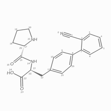 N#Cc1ccccc1-c1ccc(C[C@H](NC(=O)[C@@H]2CCCN2)C(=O)O)cc1